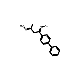 C/C(C/C(=N/O)c1ccc(-c2ccccc2)cc1)=N\O